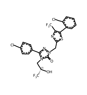 O=c1n(Cc2nc(C(F)(F)F)c(-c3ccccc3Cl)s2)nc(-c2ccc(Cl)cc2)n1C[C@H](O)C(F)(F)F